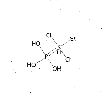 CC[SH](Cl)(Cl)=P(O)(O)O